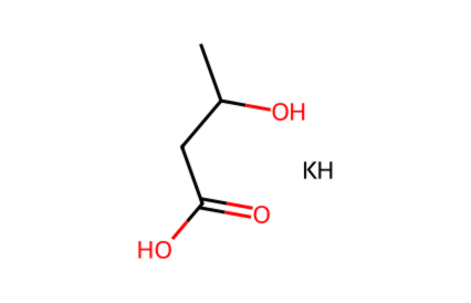 CC(O)CC(=O)O.[KH]